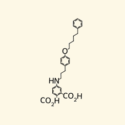 O=C(O)c1ccc(NCCCc2ccc(OCCCCCc3ccccc3)cc2)cc1C(=O)O